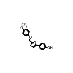 Oc1ccc(-c2csc(COc3ccc(OC(F)(F)F)cc3)n2)cc1